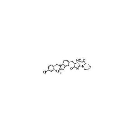 O=C1N=C(N2CCOCC2C(=O)O)SC1=Cc1ccc2c(cnn2Cc2ccc(Cl)cc2C(F)(F)F)c1